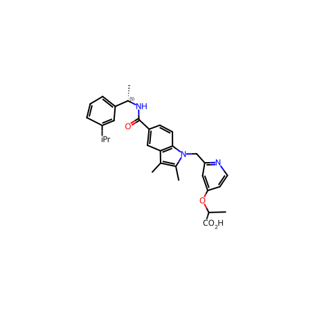 Cc1c(C)n(Cc2cc(OC(C)C(=O)O)ccn2)c2ccc(C(=O)N[C@@H](C)c3cccc(C(C)C)c3)cc12